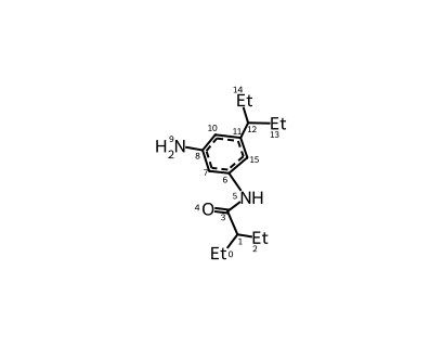 CCC(CC)C(=O)Nc1cc(N)cc(C(CC)CC)c1